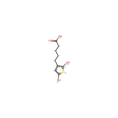 O=C(O)CCCCc1cc(O)sc1O